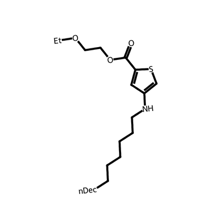 CCCCCCCCCCCCCCCCNc1csc(C(=O)OCCOCC)c1